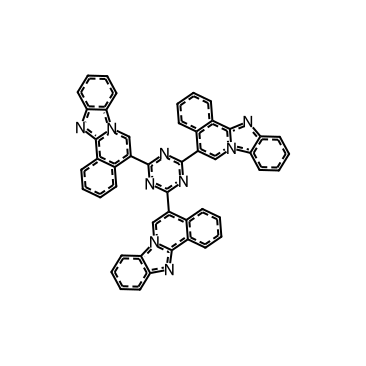 c1ccc2c(c1)nc1c3ccccc3c(-c3nc(-c4cn5c6ccccc6nc5c5ccccc45)nc(-c4cn5c6ccccc6nc5c5ccccc45)n3)cn21